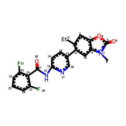 CCc1cc2oc(=O)n(C)c2cc1-c1ccc(NC(=O)c2c(F)cccc2F)nc1